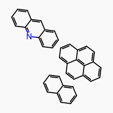 c1cc2ccc3cccc4ccc(c1)c2c34.c1ccc2ccccc2c1.c1ccc2nc3ccccc3cc2c1